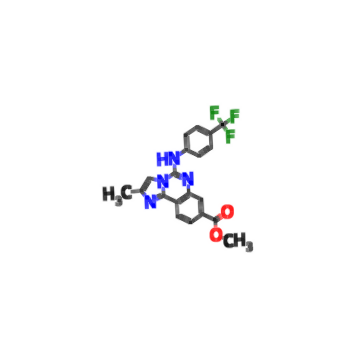 COC(=O)c1ccc2c(c1)nc(Nc1ccc(C(F)(F)F)cc1)n1cc(C)nc21